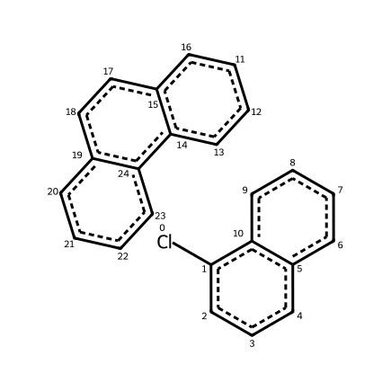 Clc1cccc2ccccc12.c1ccc2c(c1)ccc1ccccc12